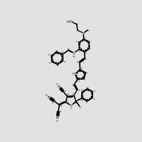 CN(CCO)c1ccc(/C=C/c2ccc(/C=C/C3=C(C#N)C(=C(C#N)C#N)OC3(C)c3ccccc3)s2)c(OCc2ccccc2)c1